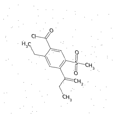 C=C(CC)c1cc(CC)c(C(=O)Cl)cc1S(C)(=O)=O